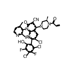 C=CC(=O)N1CCN(c2c(C#N)c(=O)n(-c3c(C)ccnc3C(C)C)c3nc(-c4c(O)c(F)c(Cl)c(F)c4Cl)c(Cl)cc23)C[C@H]1C